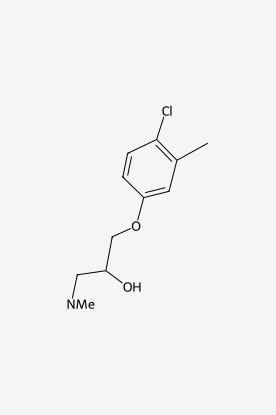 CNCC(O)COc1ccc(Cl)c(C)c1